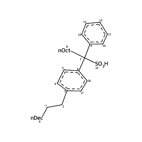 CCCCCCCCCCCCc1ccc(C(CCCCCCCC)(c2ccccc2)S(=O)(=O)O)cc1